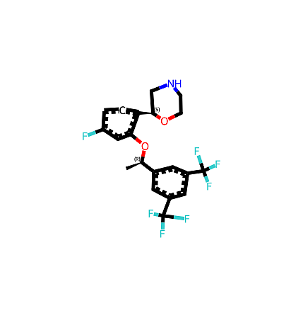 C[C@@H](Oc1cc(F)ccc1[C@H]1CNCCO1)c1cc(C(F)(F)F)cc(C(F)(F)F)c1